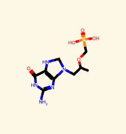 CC(CN1CNc2c1nc(N)[nH]c2=O)OCP(=O)(O)O